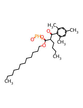 CCCCCCCCCCCCOC(=O)C(CCCC)C(=O)c1c(C)cc(C)cc1C.O=[PH3]